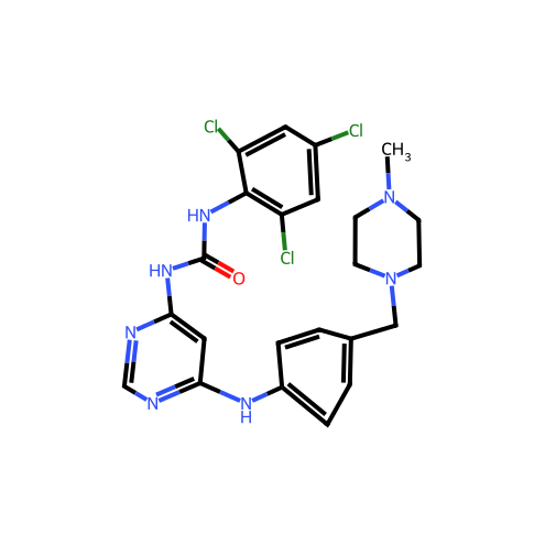 CN1CCN(Cc2ccc(Nc3cc(NC(=O)Nc4c(Cl)cc(Cl)cc4Cl)ncn3)cc2)CC1